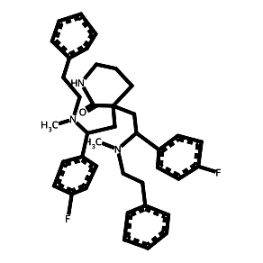 CN(CCc1ccccc1)C(CC1(CC(c2ccc(F)cc2)N(C)CCc2ccccc2)CCCNC1=O)c1ccc(F)cc1